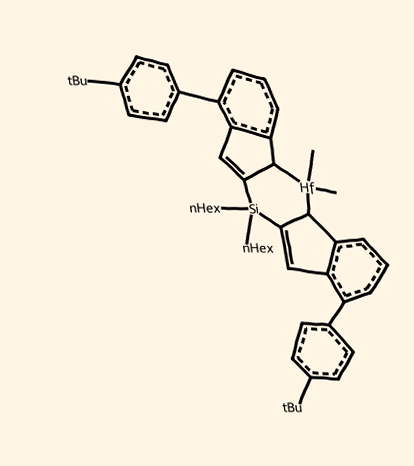 CCCCCC[Si]1(CCCCCC)C2=Cc3c(-c4ccc(C(C)(C)C)cc4)cccc3[CH]2[Hf]([CH3])([CH3])[CH]2C1=Cc1c(-c3ccc(C(C)(C)C)cc3)cccc12